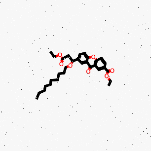 CCCCCCCCCCOC(CC(=O)OCC)c1ccc2oc3ccc(C(=O)OCC)cc3c(=O)c2c1